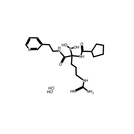 Cl.Cl.N=C(N)NCCCC(NC(=O)C1CCCC1)(B(O)O)C(=O)NCCc1cccnc1